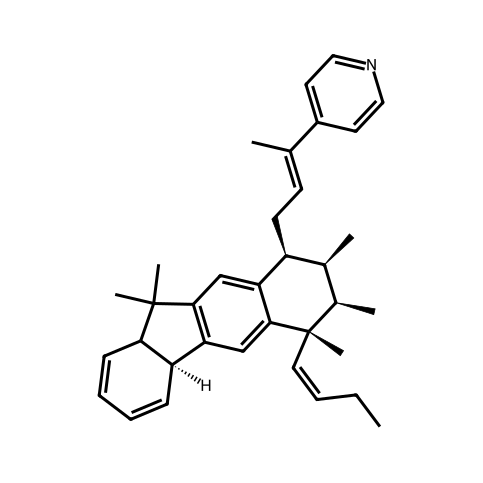 CC/C=C\[C@]1(C)c2cc3c(cc2[C@@H](C/C=C(\C)c2ccncc2)[C@@H](C)[C@H]1C)C(C)(C)C1C=CC=C[C@H]31